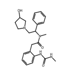 CNC(=O)Nc1ccccc1CC(=O)N(C)C(CN1CCC(O)C1)c1ccccc1